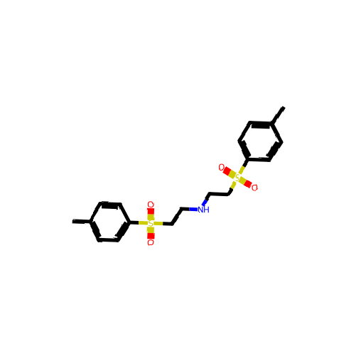 Cc1ccc(S(=O)(=O)CCNCCS(=O)(=O)c2ccc(C)cc2)cc1